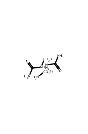 CCOC(N)=O.NC(=O)NC(=O)O.NC(N)=O